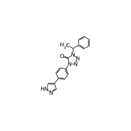 CC(c1ccccc1)n1nnn(-c2ccc(-c3cn[nH]c3)cc2)c1=O